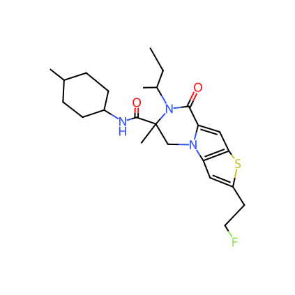 CCC(C)N1C(=O)c2cc3sc(CCF)cc3n2CC1(C)C(=O)NC1CCC(C)CC1